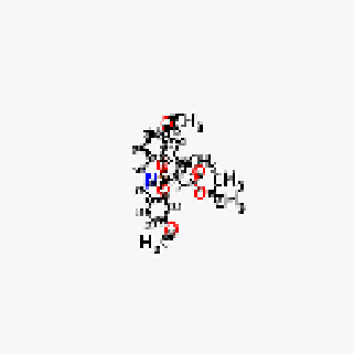 C=CC[C@@H](C)[C@@H](CC(=O)OC(C)C)S(=O)(=O)N(Cc1ccc(OC)cc1)Cc1ccc(OC)cc1